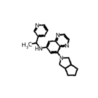 CC(Nc1cc(N2CC3CCCC3C2)c2nccnc2c1)c1cccnc1